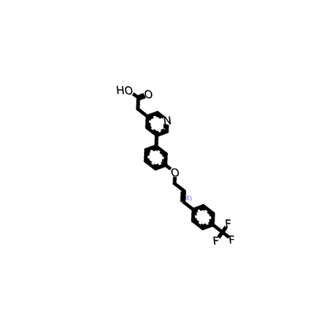 O=C(O)Cc1cncc(-c2cccc(OC/C=C/c3ccc(C(F)(F)F)cc3)c2)c1